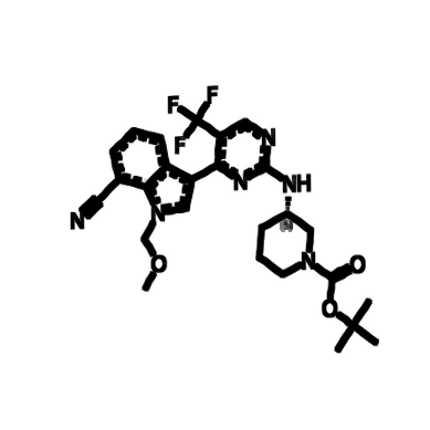 COCn1cc(-c2nc(N[C@H]3CCCN(C(=O)OC(C)(C)C)C3)ncc2C(F)(F)F)c2cccc(C#N)c21